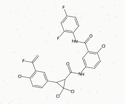 C=C(F)c1cc(C2C(C(=O)Nc3ccc(Cl)c(C(=O)Nc4ccc(F)cc4F)c3)C2(Cl)Cl)ccc1Cl